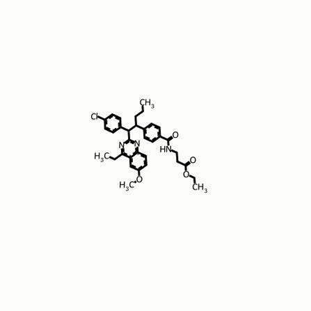 CCCC(c1ccc(C(=O)NCCC(=O)OCC)cc1)C(c1ccc(Cl)cc1)c1nc(CC)c2cc(OC)ccc2n1